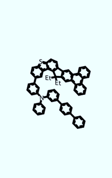 CCC1(CC)c2cc3c4ccccc4c4ccccc4c3cc2-c2ccc3sc4ccc(-c5cccc(N(c6ccccc6)c6cccc(-c7ccc(-c8ccccc8)cc7)c6)c5)cc4c3c21